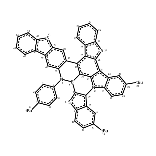 CC(C)(C)c1ccc(N2B3c4sc5ccc(C(C)(C)C)cc5c4-n4c5ccc(C(C)(C)C)cc5c5c6sc7ccccc7c6c(c3c54)-c3cc4sc5ccccc5c4cc32)cc1